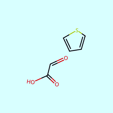 O=CC(=O)O.c1ccsc1